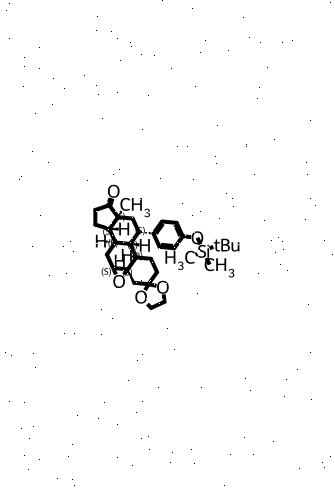 CC(C)(C)[Si](C)(C)Oc1ccc([C@H]2C[C@]3(C)C(=O)CC[C@H]3[C@@H]3C[C@@H]4O[C@]45CC4(CC[C@@H]5[C@H]32)OCCO4)cc1